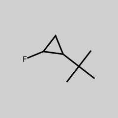 CC(C)(C)C1CC1F